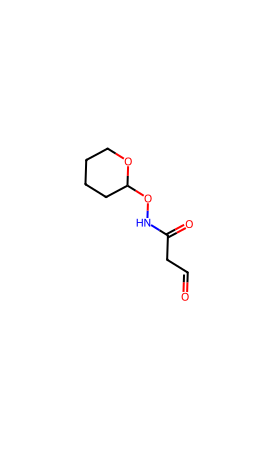 O=CCC(=O)NOC1CCCCO1